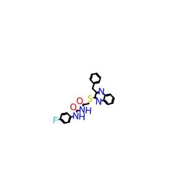 O=C(CSc1nc2ccccc2nc1Cc1ccccc1)NC(=O)Nc1ccc(F)cc1